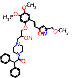 COCc1cc(C=Cc2cc(OC)c(OC)cc2OCC(O)CN2CCN(C(=O)C(c3ccccc3)c3ccccc3)CC2)on1